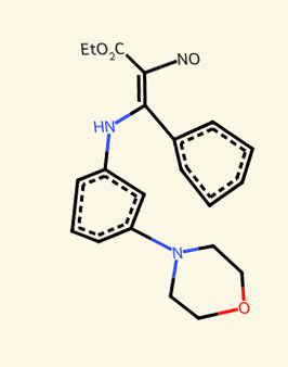 CCOC(=O)/C(N=O)=C(\Nc1cccc(N2CCOCC2)c1)c1ccccc1